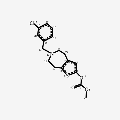 COC(=O)Oc1cc2c(s1)CCN(Cc1cccc(Cl)c1)CC2